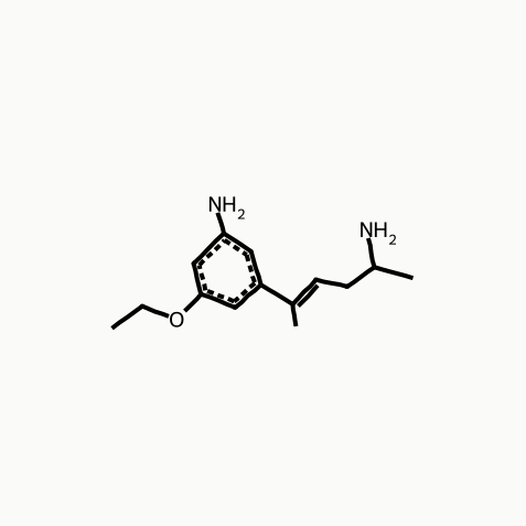 CCOc1cc(N)cc(C(C)=CCC(C)N)c1